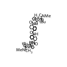 CN[C@@H](C)C(=O)N[C@H](C(=O)N1CCC[C@H]1C(=O)N[C@@H]1CCCc2c(C(=O)Nc3cccc4c3CCC[C@H]4NC(=O)[C@@H]3CCCN3C(O)[C@@H](NC(=O)[C@H](C)NC)C(C)(C)C)cccc21)C(C)(C)C